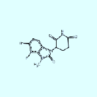 Cn1c(=O)n(C2CCC(=O)NC2=O)c2ccc(Br)c(F)c21